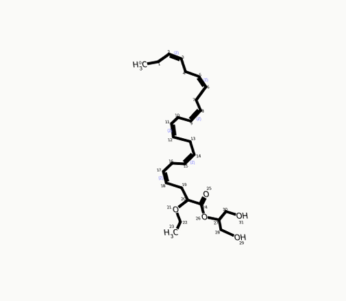 CC/C=C\C/C=C\C/C=C\C/C=C\C/C=C\C/C=C\CC(OCC)C(=O)OC(CO)CO